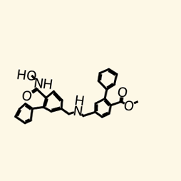 COC(=O)c1ccc(CNCc2ccc(C(=O)NO)c(-c3ccccc3)c2)cc1-c1ccccc1